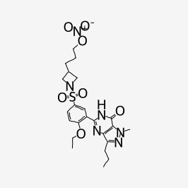 CCCc1nn(C)c2c(=O)[nH]c(-c3cc(S(=O)(=O)N4CC(CCCO[N+](=O)[O-])C4)ccc3OCC)nc12